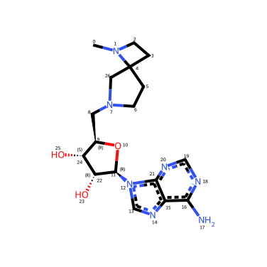 CN1CCC12CCN(C[C@H]1O[C@@H](n3cnc4c(N)ncnc43)[C@H](O)[C@@H]1O)C2